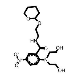 O=C(NCCOC1CCCCO1)c1cc([N+](=O)[O-])ccc1N(CCO)CCO